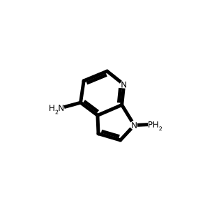 Nc1ccnc2c1ccn2P